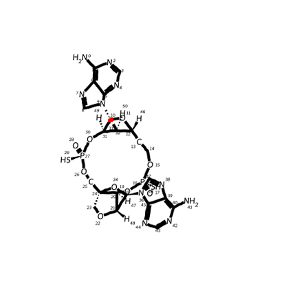 Nc1ncnc2c1ncn2[C@@H]1O[C@@H]2CCO[P@](=O)(S)O[C@H]3[C@H]4OC[C@]3(CO[P@@](=O)(S)O[C@@H]1[C@H]2F)O[C@H]4n1cnc2c(N)ncnc21